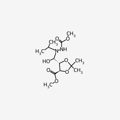 COC(=O)NN(C(C)C)C(O)[C@@H]1OC(C)(C)O[C@H]1C(=O)OC